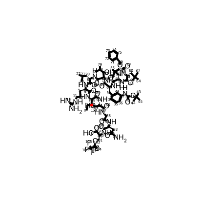 CC[C@H](C)[C@H](NC(=O)[C@@H](CCCNC(=N)N)NC(=O)[C@H](CC(C)C)NC(=O)[C@@H](NC(=O)[C@H](Cc1cccc(NC(=O)OC(C)(C)C)c1)NC(=O)[C@H](CC(C)(C)C)NC(=O)[C@@H](CC(C)(C)C)NC(=O)OCc1ccccc1)C(O)C(C)C)C(=O)N[C@H](C(=O)NCC(=O)N[C@@H](CC(N)=O)C(=O)N[C@@H](COC(=O)C(F)(F)F)C(=O)O)[C@H](C)O